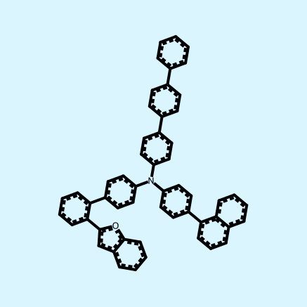 c1ccc(-c2ccc(-c3ccc(N(c4ccc(-c5ccccc5-c5cc6ccccc6o5)cc4)c4ccc(-c5cccc6ccccc56)cc4)cc3)cc2)cc1